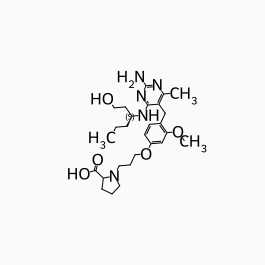 CCC[C@@H](CCO)Nc1nc(N)nc(C)c1Cc1ccc(OCCCN2CCCC2C(=O)O)cc1OC